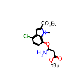 CCOC(=O)c1cc2c(Cl)ccc(OC(N)CC(=O)OC(C)(C)C)c2n1C